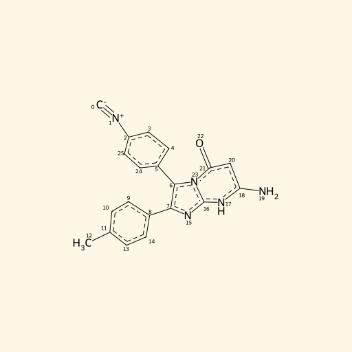 [C-]#[N+]c1ccc(-c2c(-c3ccc(C)cc3)nc3[nH]c(N)cc(=O)n23)cc1